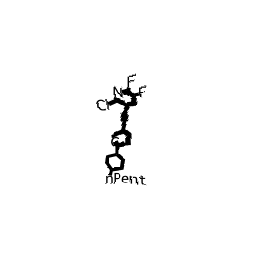 CCCCCC1CCC(c2ccc(C#Cc3cc(F)c(F)nc3Cl)cc2)CC1